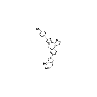 CNC[C@@H]1CN(c2ccc3c(c2)Cn2cc(-c4ccc(C#N)cc4)cc2-c2nncn2-3)C[C@H]1O